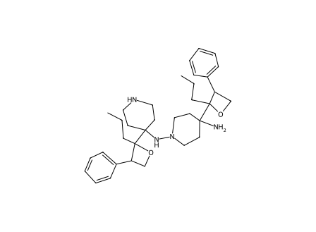 CCCC1(C2(N)CCN(NC3(C4(CCC)OCC4c4ccccc4)CCNCC3)CC2)OCC1c1ccccc1